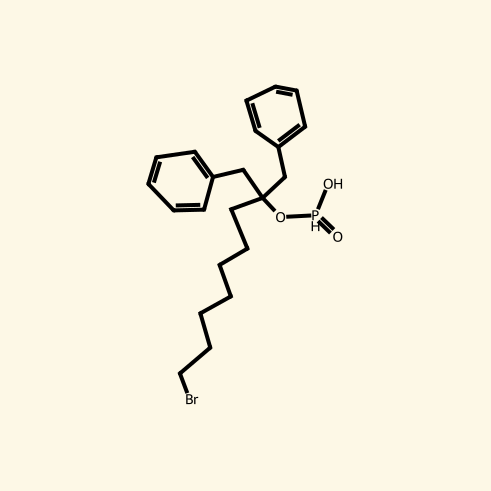 O=[PH](O)OC(CCCCCCCBr)(Cc1ccccc1)Cc1ccccc1